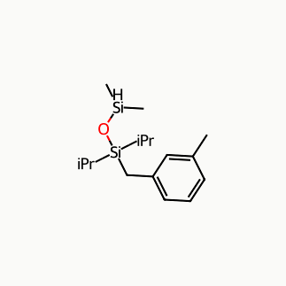 Cc1cccc(C[Si](O[SiH](C)C)(C(C)C)C(C)C)c1